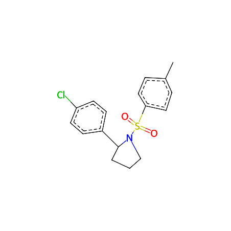 Cc1ccc(S(=O)(=O)N2CCCC2c2ccc(Cl)cc2)cc1